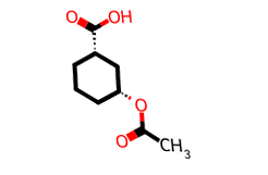 CC(=O)O[C@@H]1CCC[C@H](C(=O)O)C1